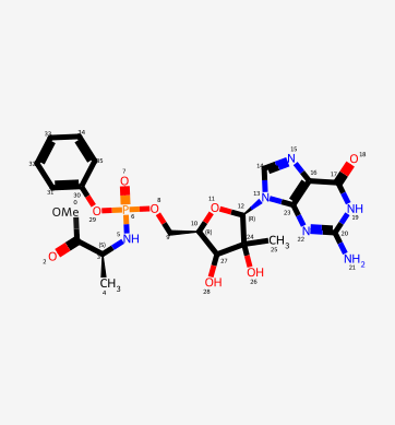 COC(=O)[C@H](C)NP(=O)(OC[C@H]1O[C@@H](n2cnc3c(=O)[nH]c(N)nc32)C(C)(O)C1O)Oc1ccccc1